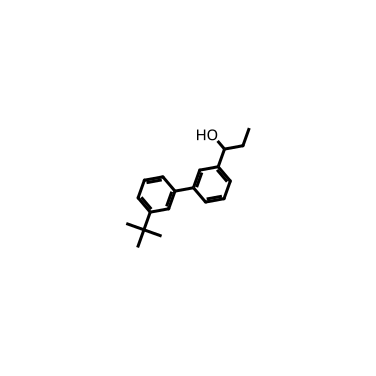 CCC(O)c1cccc(-c2cccc(C(C)(C)C)c2)c1